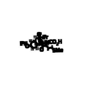 CSCC[C@H](NC(=O)O)C(=O)N[C@H]1CCC(OC(C)C)C[C@@H]1CS(=O)(=O)C(C)C